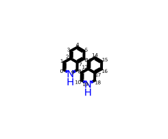 C1=Cc2ccccc2CN1.C1=Cc2ccccc2CN1